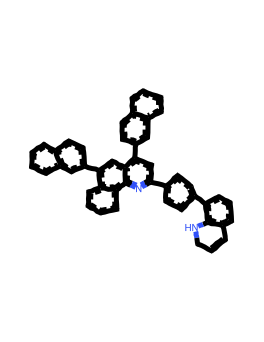 C1=Cc2cccc(-c3ccc(-c4cc(-c5ccc6ccccc6c5)c5cc(-c6ccc7ccccc7c6)c6ccccc6c5n4)cc3)c2NC1